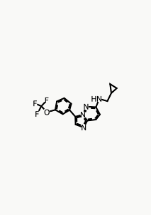 FC(F)(F)Oc1cccc(-c2cnc3ccc(NCC4CC4)nn23)c1